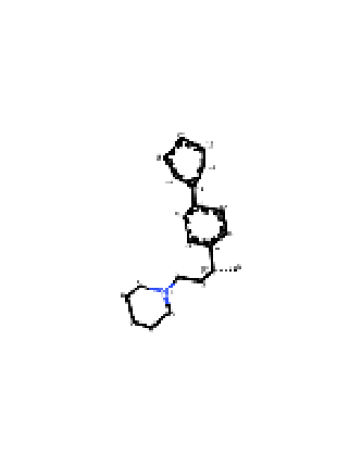 C[C@H](CCN1CCCCC1)c1ccc(-c2ccccc2)cc1